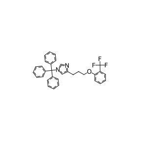 FC(F)(F)c1ccccc1OCCCc1cn(C(c2ccccc2)(c2ccccc2)c2ccccc2)cn1